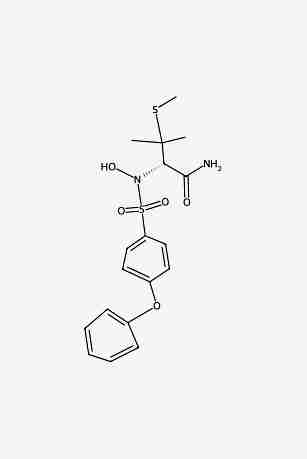 CSC(C)(C)[C@H](C(N)=O)N(O)S(=O)(=O)c1ccc(Oc2ccccc2)cc1